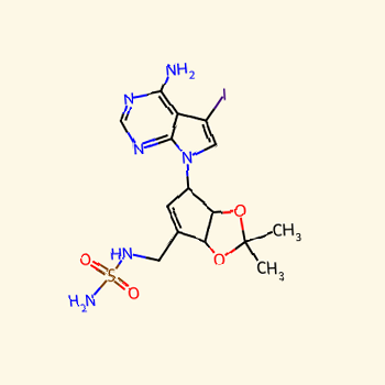 CC1(C)OC2C(CNS(N)(=O)=O)=CC(n3cc(I)c4c(N)ncnc43)C2O1